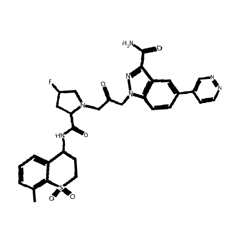 Cc1cccc2c1S(=O)(=O)CCC2NC(=O)C1CC(F)CN1CC(=O)Cn1nc(C(N)=O)c2cc(-c3ccnnc3)ccc21